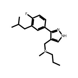 CCCN(C)Cc1c[nH]nc1-c1ccc(F)c(CC(C)C)c1